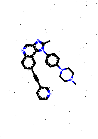 Cc1nc2cnc3ccc(C#Cc4cccnc4)cc3c2n1-c1ccc(N2CCN(C)CC2)cc1